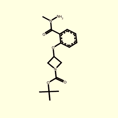 CN(N)C(=O)c1ccccc1OC1CN(C(=O)OC(C)(C)C)C1